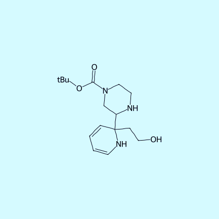 CC(C)(C)OC(=O)N1CCNC(C2(CCO)C=CC=CN2)C1